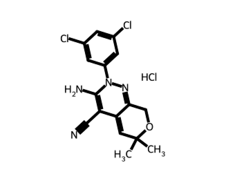 CC1(C)C=C2C(=NN(c3cc(Cl)cc(Cl)c3)C(N)=C2C#N)CO1.Cl